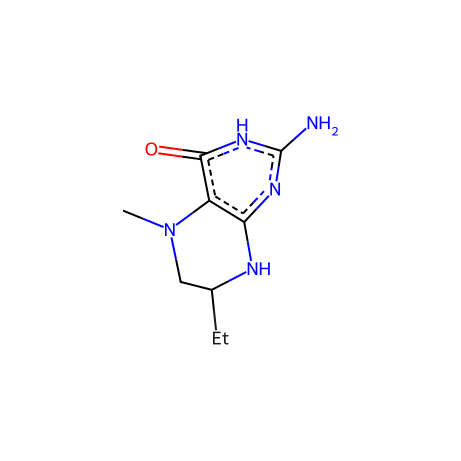 CCC1CN(C)c2c(nc(N)[nH]c2=O)N1